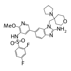 COc1ncc(-c2ccc3nc(N)n(CC4(N5CCCC5)CCOCC4)c3c2)cc1NS(=O)(=O)c1ccc(F)cc1F